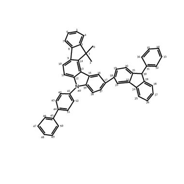 CC1(C)c2ccccc2-c2ccc3c(c21)c1cc(-c2ccc4c(c2)-c2ccccc2C4c2ccccc2)ccc1n3-c1ccc(-c2ccccc2)cc1